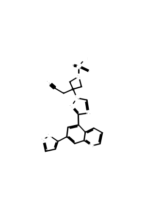 CS(=O)(=O)N1CC(CC#N)(n2cnc(-c3cc(-c4ccn[nH]4)cc4ncccc34)n2)C1